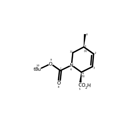 C[C@H]1C=C[C@@H](C(=O)O)N(C(=O)OC(C)(C)C)C1